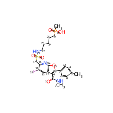 CNC(=O)c1c(-c2ccc(C)cc2)oc2nc(CS(=O)(=O)NCCCCCP(C)(=O)O)c(I)cc12